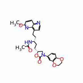 COc1ccc2nccc(CC[C@H](CC[C@@H]3CN(c4ccc5c(c4)OCCO5)C(=O)O3)NC(C)=O)c2n1